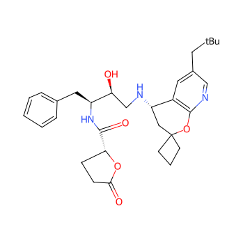 CC(C)(C)Cc1cnc2c(c1)[C@@H](NC[C@H](O)[C@H](Cc1ccccc1)NC(=O)[C@H]1CCC(=O)O1)CC1(CCC1)O2